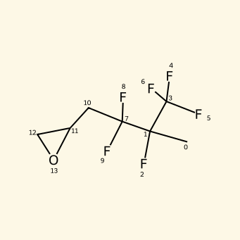 CC(F)(C(F)(F)F)C(F)(F)CC1CO1